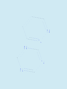 c1ccnnc1.c1ncncn1